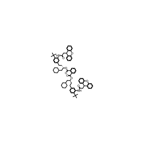 CC(C)(C)c1ccc(CC[C@@H](CC2CCCCC2)OC(=O)c2ccccc2C(=O)O[C@@H](CCc2ccc(C(C)(C)C)c(NC(=O)CC3c4ccccc4Oc4ccccc43)c2)CC2CCCCC2)cc1NC(=O)CC1c2ccccc2Oc2ccccc21